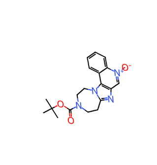 CC(C)(C)OC(=O)N1CCc2nc3c[n+]([O-])c4ccccc4c3n2CC1